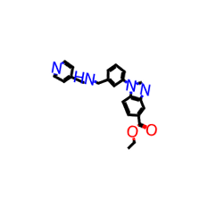 CCOC(=O)c1ccc2c(c1)ncn2-c1cccc(CNCc2ccncc2)c1